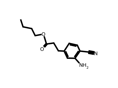 CCCCOC(=O)CCc1ccc(C#N)c(N)c1